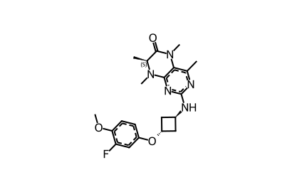 COc1ccc(O[C@H]2C[C@H](Nc3nc(C)c4c(n3)N(C)[C@@H](C)C(=O)N4C)C2)cc1F